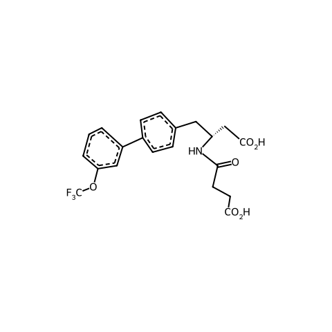 O=C(O)CCC(=O)N[C@@H](CC(=O)O)Cc1ccc(-c2cccc(OC(F)(F)F)c2)cc1